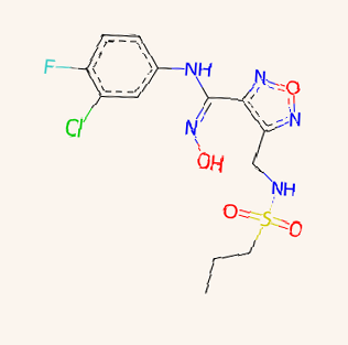 CCCS(=O)(=O)NCc1nonc1C(=NO)Nc1ccc(F)c(Cl)c1